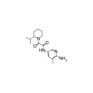 Cc1cc(NC(=O)C(=O)N2CCCCC2C(C)C)cnc1N